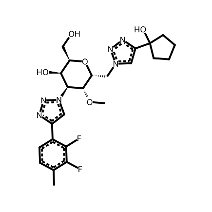 CO[C@@H]1[C@@H](n2cc(-c3ccc(C)c(F)c3F)nn2)[C@@H](O)[C@@H](CO)O[C@@H]1Cn1cc(C2(O)CCCC2)nn1